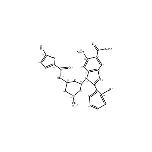 CNC(=O)c1cc2nc(-c3ccccc3F)n(C3CC(NC(=O)c4ccc(Br)s4)CN(C)C3)c2cc1OC